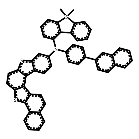 CS1(C)c2ccccc2-c2c(N(c3ccc(-c4ccc5ccccc5c4)cc3)c3ccc4c(c3)sc3ccc5sc6c7ccccc7ccc6c5c34)cccc21